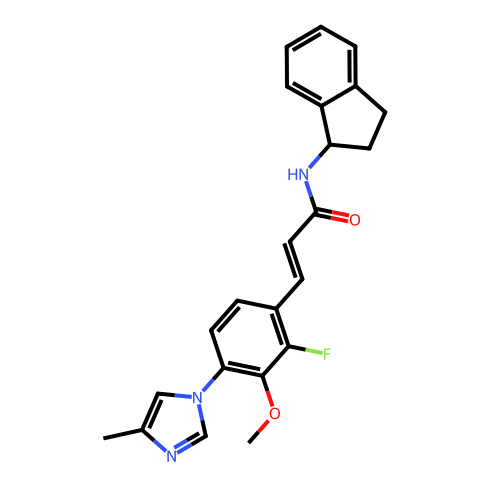 COc1c(-n2cnc(C)c2)ccc(C=CC(=O)NC2CCc3ccccc32)c1F